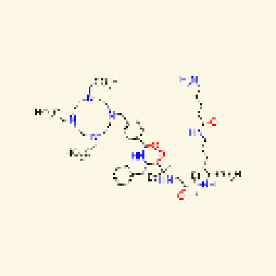 CCC(C)(NC(CCCCNC(=O)CCCCN)C(=O)O)C(=O)CNC(C)(CC)C(=O)C(Cc1ccccc1)NC(=O)c1ccc(CN2CCN(CC(=O)O)CCN(CC(=O)O)CCN(CC(=O)O)CC2)cc1